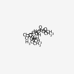 CC1(C)OC[C@H](C(=O)N2C[C@H]3C[C@@H](C(N[S+]([O-])C(C)(C)C)c4cc(Cl)c(Cl)cc4O)C[C@H]3C2)O1